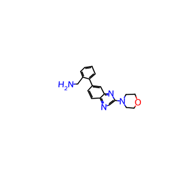 NCc1ccccc1-c1ccc2ncc(N3CCOCC3)nc2c1